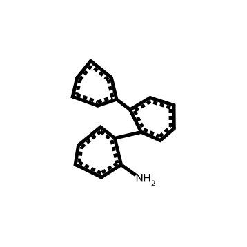 Nc1ccccc1-c1ccccc1-c1ccccc1